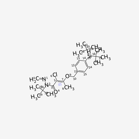 C=NN(C(=O)/C(Cl)=C(\C)OCc1ccc([SiH](C(C)(C)C)C(C)(C)C)cc1)C(C)(C)C